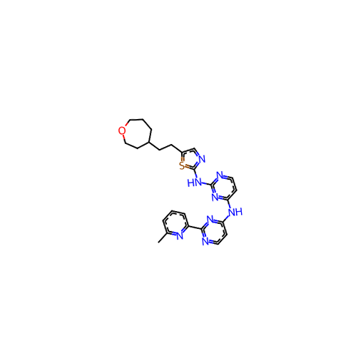 Cc1cccc(-c2nccc(Nc3ccnc(Nc4ncc(CCC5CCCOCC5)s4)n3)n2)n1